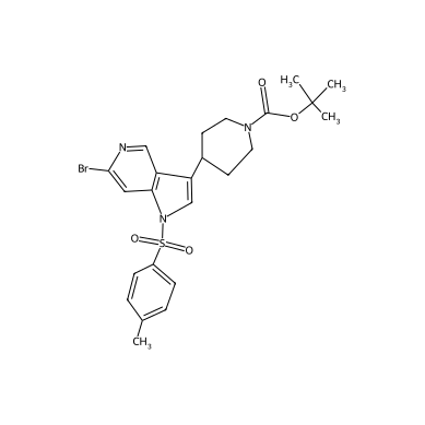 Cc1ccc(S(=O)(=O)n2cc(C3CCN(C(=O)OC(C)(C)C)CC3)c3cnc(Br)cc32)cc1